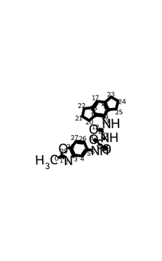 Cc1nc2cc(NS(=O)(=O)NC(=O)Nc3c4c(cc5c3CCC5)CCC4)ccc2o1